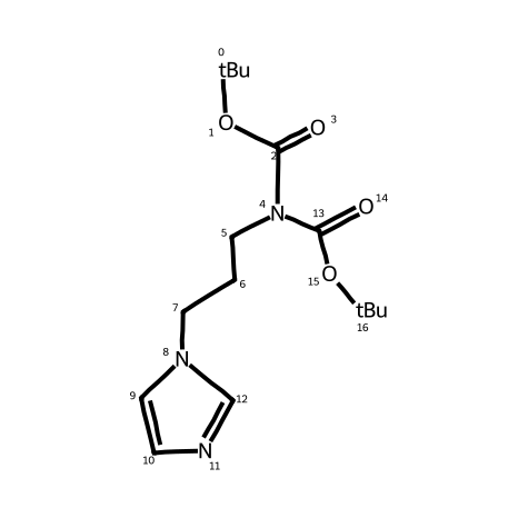 CC(C)(C)OC(=O)N(CCCn1ccnc1)C(=O)OC(C)(C)C